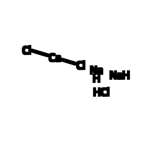 Cl.[Cl][Ca][Cl].[NaH].[NaH]